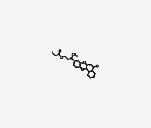 CN(CCOC(=O)CI)c1ccc2nc3c4ccccc4c(=O)cc-3oc2c1